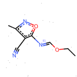 CCO/C=N/c1onc(C)c1C#N